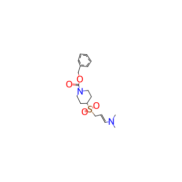 CN(C)C=CCS(=O)(=O)C1CCN(C(=O)OCc2ccccc2)CC1